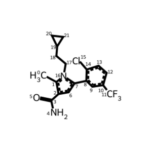 Cc1c(C(N)=O)cc(-c2cc(C(F)(F)F)ccc2Cl)n1CCC1CC1